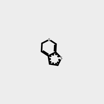 [c]1cc2c(s1)=CSCC=2